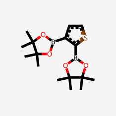 CC1(C)OB(c2ccsc2B2OC(C)(C)C(C)(C)O2)OC1(C)C